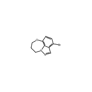 Brc1ccc2c3c1cnn3CCCO2